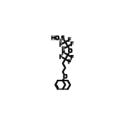 O=S(=O)(O)C(F)(F)C(F)(F)OC(F)(F)C(F)(F)CCCOC12CC=CC(CCC1)C2